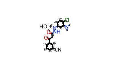 CN(C)c1cc(N(NC(=O)CC(=O)c2cccc(C#N)c2)C(=O)O)ccc1Cl